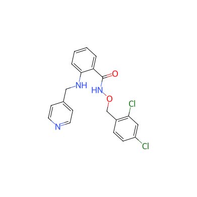 O=C(NOCc1ccc(Cl)cc1Cl)c1ccccc1NCc1ccncc1